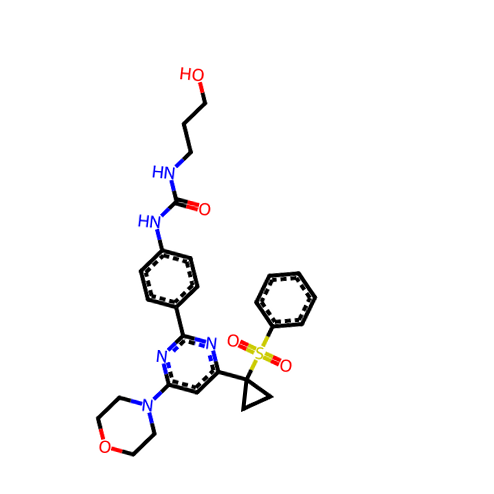 O=C(NCCCO)Nc1ccc(-c2nc(N3CCOCC3)cc(C3(S(=O)(=O)c4ccccc4)CC3)n2)cc1